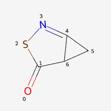 O=C1SN=C2CC12